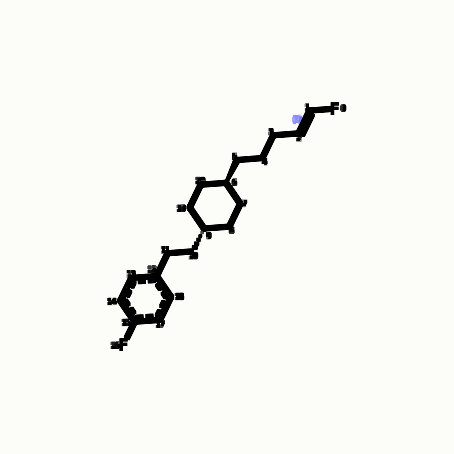 F/C=C/CCC[C@H]1CC[C@H](CCc2ccc(F)cc2)CC1